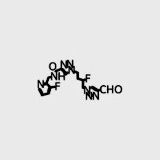 O=Cc1cn(CC(F)CCn2cc(C(=O)NCc3ncccc3F)nn2)nn1